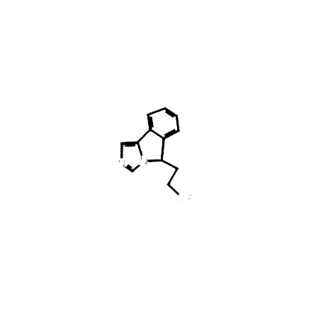 FC(F)(F)CCC1c2ccccc2-c2cncn21